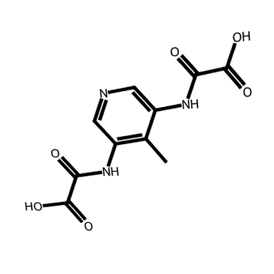 Cc1c(NC(=O)C(=O)O)cncc1NC(=O)C(=O)O